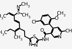 C/C=C(\C=C\C(CCc1nnc(NC(=O)c2cnc(C)cc2-c2cc(Cl)ccc2OC)s1)=C(\C)CC)[S@](/C)=N/C